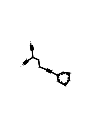 N#CC(C#N)CCC#Cc1ccccc1